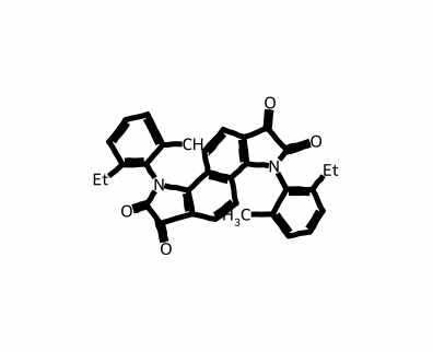 CCc1cccc(C)c1-n1c(=O)c(=O)c2ccc3c(ccc4c(=O)c(=O)n(-c5c(C)cccc5CC)c43)c21